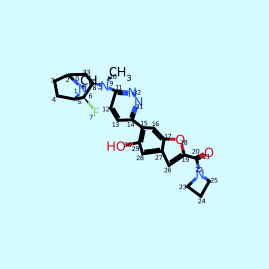 CN1C2CCC1[C@H](F)[C@H](N(C)c1ccc(-c3cc4oc(C(=O)N5CCC5)cc4cc3O)nn1)C2